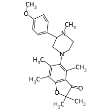 COc1ccc(C2CN(c3c(C)c(C)c4c(c3C)C(=O)C(C)(C)O4)CCN2C)cc1